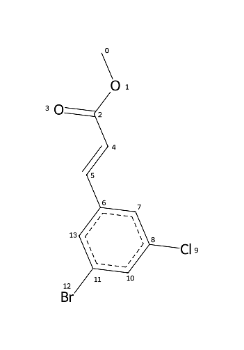 COC(=O)/C=C/c1cc(Cl)cc(Br)c1